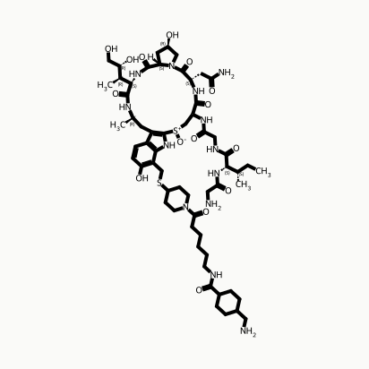 CC[C@H](C)[C@H](NC(=O)CN)C(=O)NCC(=O)NC1C[S+]([O-])c2[nH]c3c(CSC4CCN(C(=O)CCCCCNC(=O)C5CCC(CN)CC5)CC4)c(O)ccc3c2C[C@@H](C)NC(=O)[C@H]([C@@H](C)[C@@H](O)CO)NC(=O)[C@@H]2C[C@@H](O)CN2C(=O)[C@H](CC(N)=O)NC1=O